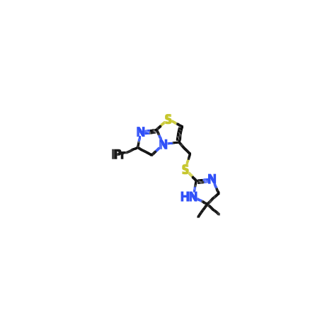 CC(C)C1CN2C(CSC3=NCC(C)(C)N3)=CSC2=N1